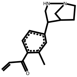 C=CC(=O)c1ccc(C2CNN3CCC2C3)cc1C